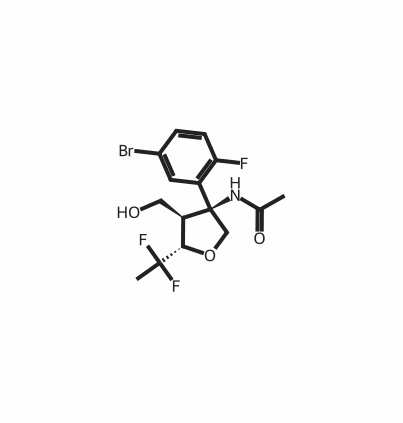 CC(=O)N[C@@]1(c2cc(Br)ccc2F)CO[C@H](C(C)(F)F)[C@H]1CO